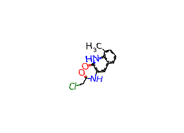 Cc1cccc2cc(NC(=O)CCl)c(=O)[nH]c12